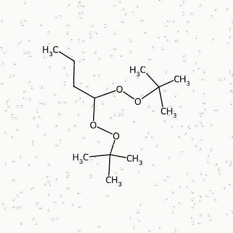 CCCC(OOC(C)(C)C)OOC(C)(C)C